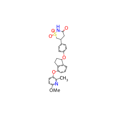 COc1ccc(Oc2cccc3c2CC[C@H]3Oc2ccc(C3CC(=O)NS(=O)(=O)C3)cc2)c(C)n1